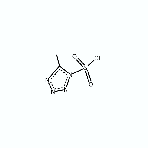 Cc1nnnn1S(=O)(=O)O